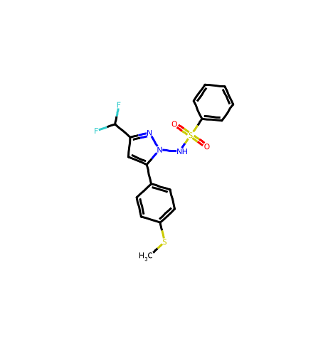 CSc1ccc(-c2cc(C(F)F)nn2NS(=O)(=O)c2ccccc2)cc1